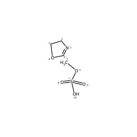 C1=NCCO1.COS(=O)(=O)O